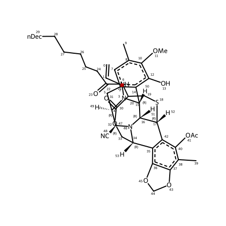 C=CCN1[C@@H]2Cc3cc(C)c(OC)c(O)c3[C@@H]1[C@@H]1[C@@H]3SCC(NC(=O)CCCCCCCCCCCCCCC)C(=O)OC[C@@H](c4c5c(c(C)c(OC(C)=O)c43)OCO5)N1[C@H]2C#N